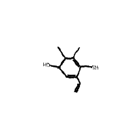 C=CC1=CC(O)C(C)C(C)=C1S